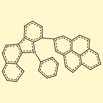 c1ccc(-n2c3c(-c4cc5ccc6cccc7ccc(c4)c5c67)cccc3c3ccc4ccccc4c32)cc1